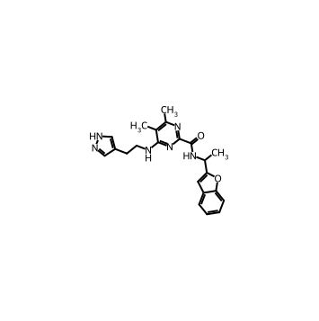 Cc1nc(C(=O)NC(C)c2cc3ccccc3o2)nc(NCCc2cn[nH]c2)c1C